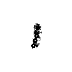 FC(F)(F)c1ccccc1-c1ccc(-c2nc3nc(OC4CO[C@@H]5CCO[C@H]45)[nH]c3cc2Cl)cc1